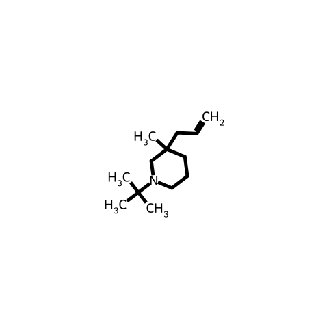 C=CCC1(C)CCCN(C(C)(C)C)C1